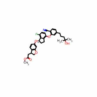 COC(=O)CC1COc2cc(O[C@@H]3CCc4c(Oc5cc(CCCC(C)(C)O)ccc5C#N)ccc(F)c43)ccc21